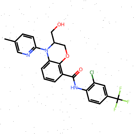 Cc1ccc(N2c3cccc(C(=O)Nc4ccc(C(F)(F)F)cc4Cl)c3OCC2CO)nc1